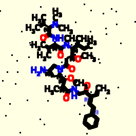 C=C/C(=C\C=C1\C=CC=CC1)C(=O)CNC(=O)[C@H](C)[C@@H](OC)[C@@H]1C[C@H](N)CN1C(=O)C[C@@H](OC)[C@H]([C@@H](C)CC)N(C)C(=O)[C@@H](NC(=O)[C@H](C(C)C)N(C)C)C(C)C